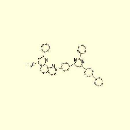 Cc1cc(-c2ccccc2)nc2c1ccc1ccc(-c3ccc(-c4cc(-c5ccc(-c6ccccc6)cc5)nc(-c5ccccc5)n4)cc3)nc12